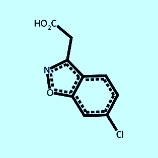 O=C(O)Cc1noc2cc(Cl)ccc12